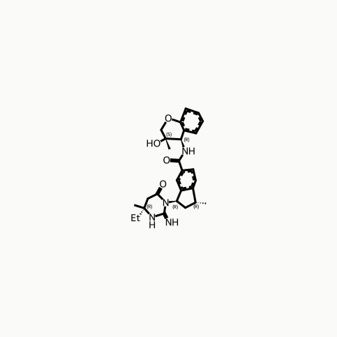 CC[C@]1(C)CC(=O)N([C@@H]2C[C@@H](C)c3ccc(C(=O)N[C@@H]4c5ccccc5OC[C@@]4(C)O)cc32)C(=N)N1